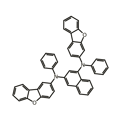 c1ccc(N(c2cc(N(c3ccccc3)c3ccc4c(c3)oc3ccccc34)c3ccccc3c2)c2ccc3oc4ccccc4c3c2)cc1